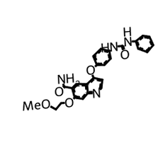 COCCOc1cc2nccc(Oc3ccc(NC(=O)Nc4ccccc4)cc3)c2cc1C(N)=O